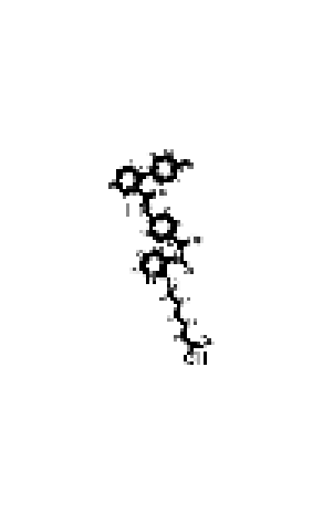 Cc1ccc(-c2ccccc2C(=O)Nc2ccc(C(=O)N(C)c3cccnc3OCCCCCC(=O)O)cc2)cc1